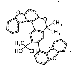 CC(C)(O)c1cc2c(cc1-c1cccc3oc4ccccc4c13)C(C)(C)Oc1ccc3oc4ccccc4c3c1-2